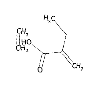 C=C.C=C(CC)C(=O)O